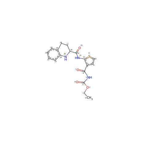 CCOC(=O)NC(=O)c1ccsc1NC(=O)C1CCc2ccccc2N1